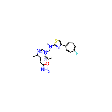 C/C=C\N(/C=N\C(C)CCC(N)=O)CN(C)c1nc(C2=CCC=C(F)C=C2)cs1